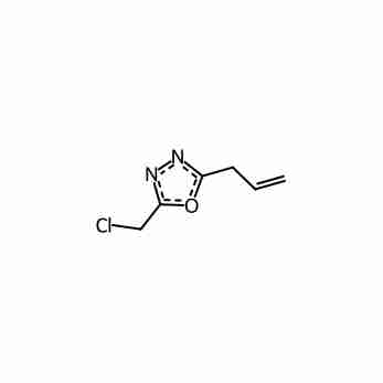 C=CCc1nnc(CCl)o1